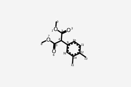 COC(=O)C(C(=O)OC)c1ccc(C)c(C)c1